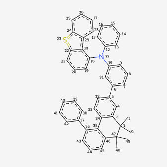 CC1(C)c2cc(-c3cccc(N(c4ccccc4)c4cccc5sc6ccccc6c45)c3)ccc2-c2c(-c3ccccc3)cccc2C1(C)C